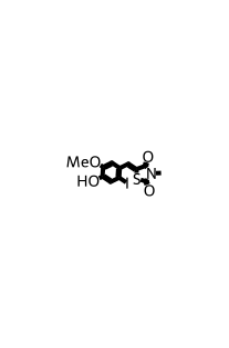 COc1cc(/C=C2\SC(=O)N(C)C2=O)c(I)cc1O